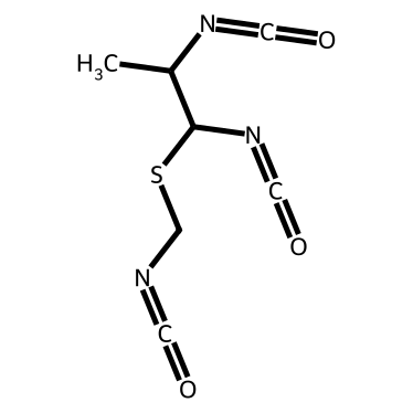 CC(N=C=O)C(N=C=O)SCN=C=O